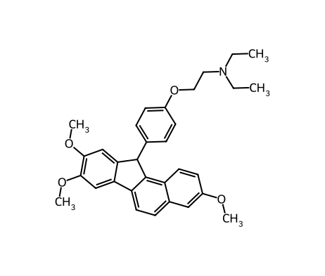 CCN(CC)CCOc1ccc(C2c3cc(OC)c(OC)cc3-c3ccc4cc(OC)ccc4c32)cc1